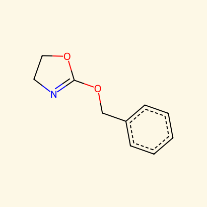 c1ccc(COC2=NCCO2)cc1